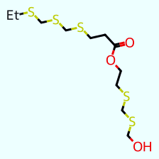 CCSCSCSCCC(=O)OCCSCSCO